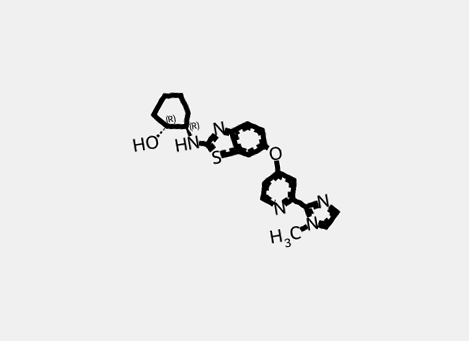 Cn1ccnc1-c1cc(Oc2ccc3nc(N[C@@H]4CCCC[C@H]4O)sc3c2)ccn1